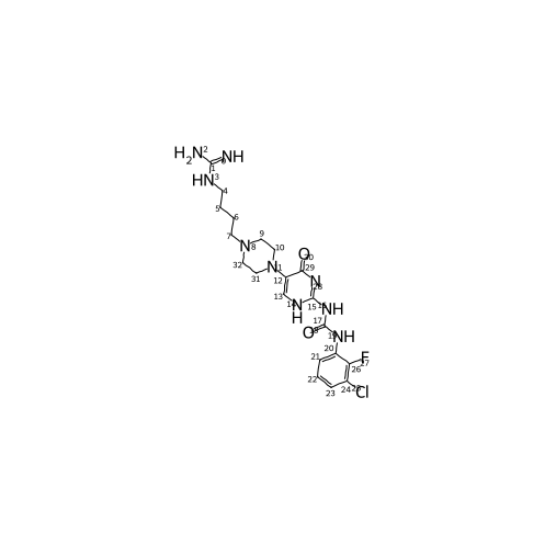 N=C(N)NCCCCN1CCN(c2c[nH]c(NC(=O)Nc3cccc(Cl)c3F)nc2=O)CC1